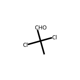 CC(Cl)(Cl)C=O